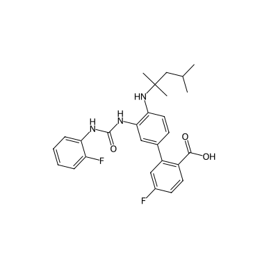 CC(C)CC(C)(C)Nc1ccc(-c2cc(F)ccc2C(=O)O)cc1NC(=O)Nc1ccccc1F